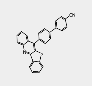 N#Cc1ccc(-c2ccc(-c3c4ccccc4nc4c3sc3ccccc34)cc2)cc1